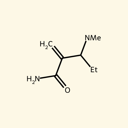 C=C(C(N)=O)C(CC)NC